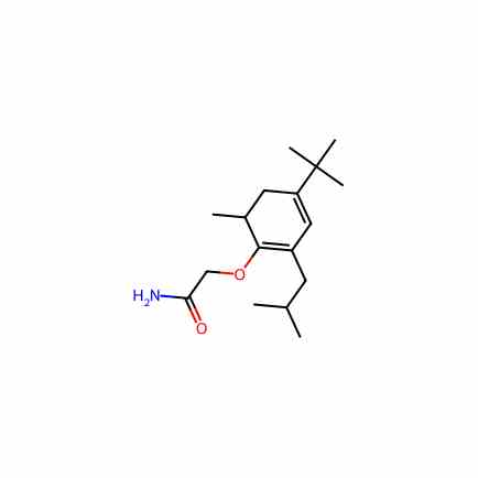 CC(C)CC1=C(OCC(N)=O)C(C)CC(C(C)(C)C)=C1